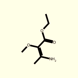 CCOC(=O)C(OC)=C(C)N